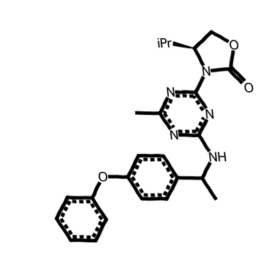 Cc1nc(NC(C)c2ccc(Oc3ccccc3)cc2)nc(N2C(=O)OC[C@@H]2C(C)C)n1